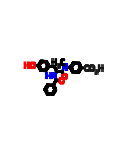 CN(C(=O)C(Cc1ccc(O)cc1)NC(=O)c1ccccc1)c1ccc(C(=O)O)cc1